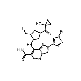 CCn1cc(-c2cn3ncc(C(N)=O)c(NC4CN(C(=O)C5(C#N)CC5)CC4CF)c3n2)cn1